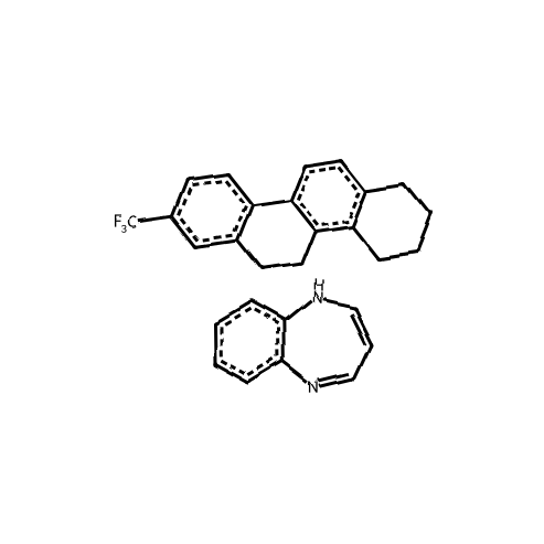 C1=CNc2ccccc2N=C1.FC(F)(F)c1ccc2c(c1)CCc1c-2ccc2c1CCCC2